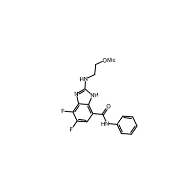 COCCNc1nc2c(F)c(F)cc(C(=O)Nc3ccccc3)c2[nH]1